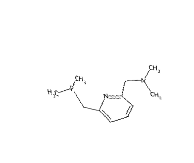 CN(C)Cc1cccc(CP(C)C)n1